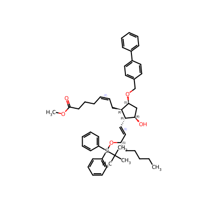 CCCCC[C@@H](/C=C/[C@@H]1[C@@H](C/C=C\CCCC(=O)OC)[C@@H](OCc2ccc(-c3ccccc3)cc2)C[C@H]1O)O[Si](c1ccccc1)(c1ccccc1)C(C)(C)C